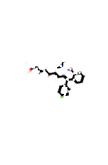 CC(C)n1c(C=C[C@@H](O)C[C@@H](O)CC(=O)O)c(-c2ccc(F)cc2)c2ccccc2c1=O